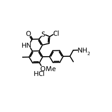 COc1cc(C)c2[nH]c(=O)c3sc(Cl)cc3c2c1-c1ccc(C(C)CN)cc1.Cl